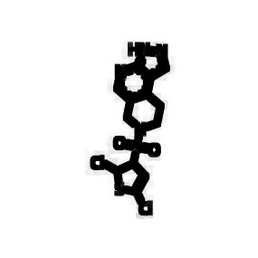 O=S(=O)(C1C=C(Cl)SC1Cl)N1CCc2c(cnc3[nH]ncc23)C1